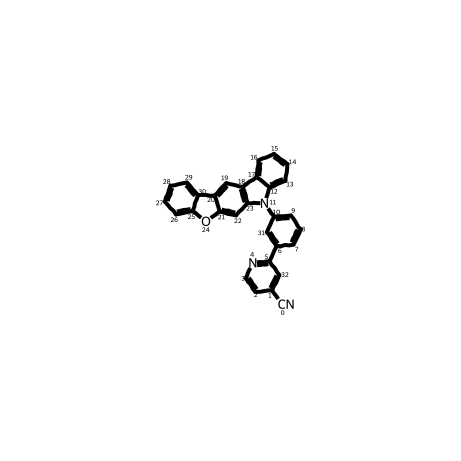 N#Cc1ccnc(-c2cccc(-n3c4ccccc4c4cc5c(cc43)oc3ccccc35)c2)c1